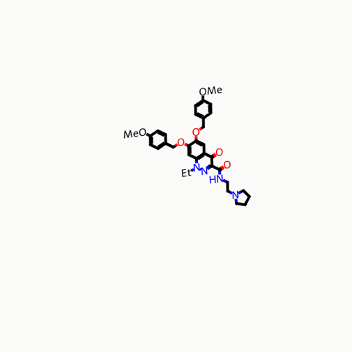 CCn1nc(C(=O)NCCN2CCCC2)c(=O)c2cc(OCc3ccc(OC)cc3)c(OCc3ccc(OC)cc3)cc21